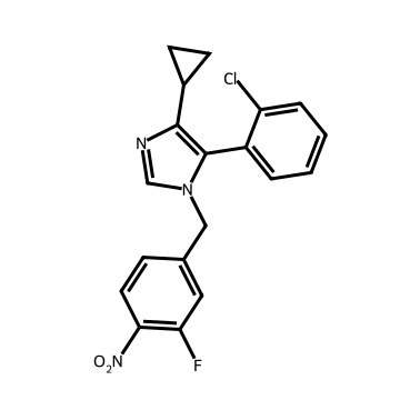 O=[N+]([O-])c1ccc(Cn2cnc(C3CC3)c2-c2ccccc2Cl)cc1F